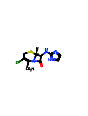 O=C(O)C1=C(Cl)CS[C@@H]2C(Nc3ncc[nH]3)C(=O)N12